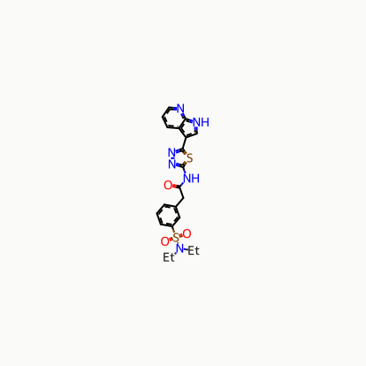 CCN(CC)S(=O)(=O)c1cccc(CC(=O)Nc2nnc(-c3c[nH]c4ncccc34)s2)c1